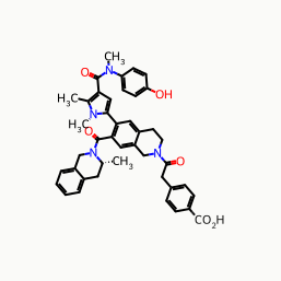 Cc1c(C(=O)N(C)c2ccc(O)cc2)cc(-c2cc3c(cc2C(=O)N2Cc4ccccc4C[C@H]2C)CN(C(=O)Cc2ccc(C(=O)O)cc2)CC3)n1C